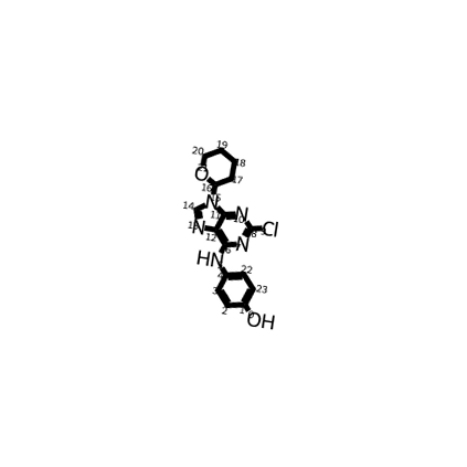 Oc1ccc(Nc2nc(Cl)nc3c2ncn3C2CCCCO2)cc1